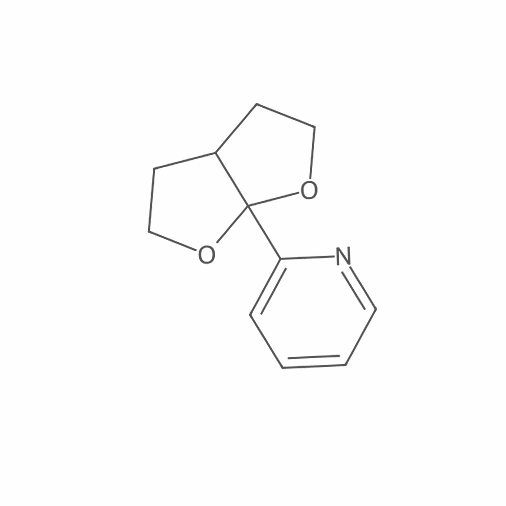 c1ccc(C23OCCC2CCO3)nc1